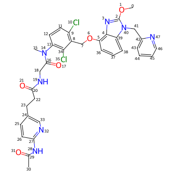 COc1nc2c(OCc3c(Cl)ccc(N(C)C(=O)CNC(=O)CCc4ccc(NC(C)=O)nc4)c3Cl)cccc2n1Cc1ccccn1